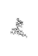 CC#CCC(C)(C)[C@@H](O)/C=C/[C@H]1CC[C@@H]2OC(=O)C[C@@H]21